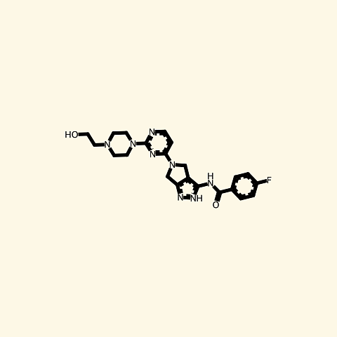 O=C(Nc1[nH]nc2c1CN(c1ccnc(N3CCN(CCO)CC3)n1)C2)c1ccc(F)cc1